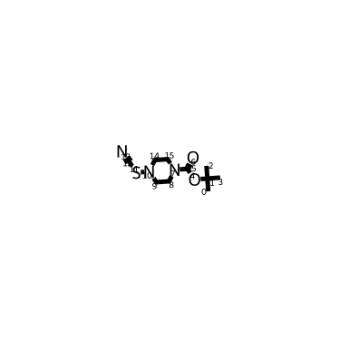 CC(C)(C)OC(=O)N1CCN(SC#N)CC1